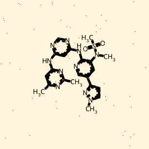 Cc1cc(Nc2cc(Nc3ncc(-c4ccn(C)n4)cc3N(C)S(C)(=O)=O)ncn2)nc(C)n1